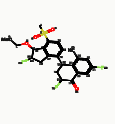 COCO[C@H]1c2c(S(C)(=O)=O)ccc([C@H]3CC(F)C(=O)c4cc(F)cc(C#N)c43)c2C[C@H]1F